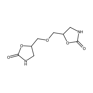 O=C1NCC(COCC2CNC(=O)O2)O1